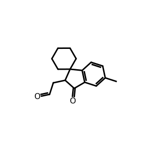 Cc1ccc2c(c1)C(=O)C(CC=O)C21CCCCC1